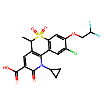 CC1c2cc(C(=O)O)c(=O)n(C3CC3)c2-c2cc(Cl)c(OCC(F)F)cc2S1(=O)=O